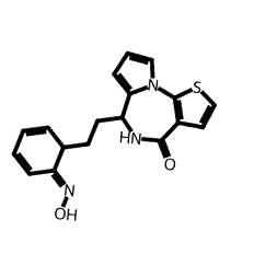 O=C1NC(CCC2C=CC=CC2=NO)c2cccn2-c2sccc21